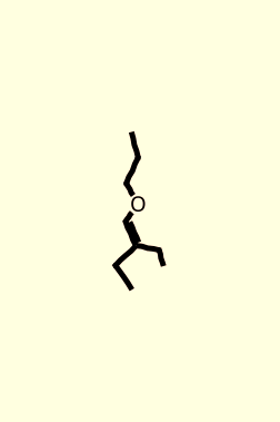 CCCOC=C(CC)CC